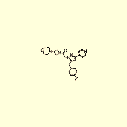 O=C(Cn1nc(-c2ccncc2)cc1Cc1ccc(F)cc1)N1CC(N2CCOCC2)C1